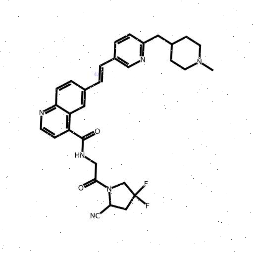 CN1CCC(Cc2ccc(/C=C/c3ccc4nccc(C(=O)NCC(=O)N5CC(F)(F)CC5C#N)c4c3)cn2)CC1